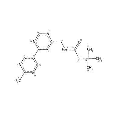 Cc1ncc(-c2cc(CNC(=O)OC(C)(C)C)ncn2)cn1